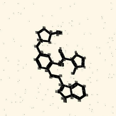 Cc1ccsc1C(=O)Nc1cc(CN2CCC(O)C2)ccc1C=Cc1n[nH]c2ccccc12